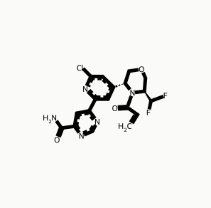 C=CC(=O)N1[C@H](c2cc(Cl)nc(-c3cc(C(N)=O)ncn3)c2)COC[C@H]1C(F)F